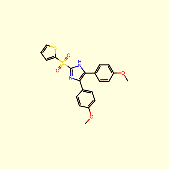 COc1ccc(-c2nc(S(=O)(=O)c3cccs3)[nH]c2-c2ccc(OC)cc2)cc1